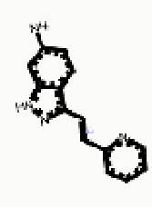 [NH]c1ccc2c(/C=C/c3ccccn3)n[nH]c2c1